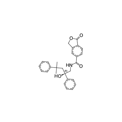 CC(C)(C[C@](O)(CNC(=O)c1ccc2c(c1)COC2=O)c1ccccc1)c1ccccc1